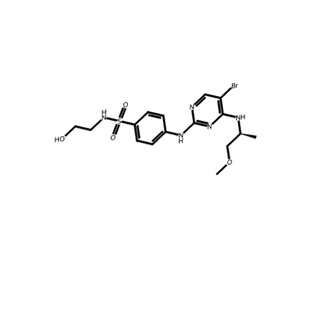 COC[C@H](C)Nc1nc(Nc2ccc(S(=O)(=O)NCCO)cc2)ncc1Br